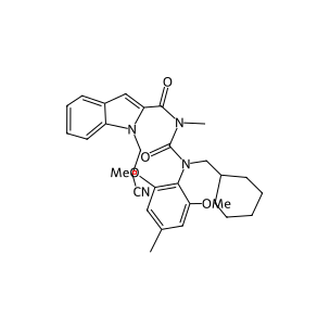 COc1cc(C)cc(OC)c1N(CC1CCCCC1)C(=O)N(C)C(=O)c1cc2ccccc2n1CCC#N